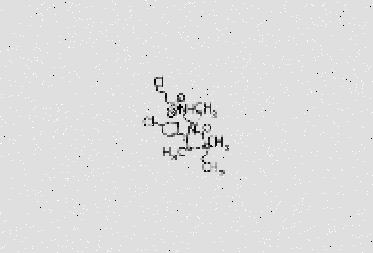 C=CC[C@@]1(C)C[C@H](C)[C@@H](c2ccc(Cl)cc2)N([C@@H](CC)CNS(=O)(=O)CCCCl)C1=O